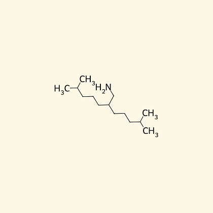 CC(C)CCCC(CN)CCCC(C)C